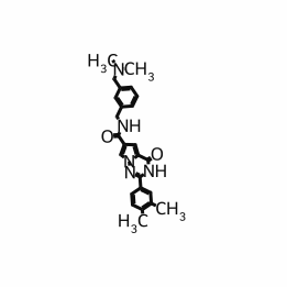 Cc1ccc(-c2nn3cc(C(=O)NCc4cccc(CN(C)C)c4)cc3c(=O)[nH]2)cc1C